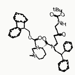 CN1CCC[C@@H](C(=O)N(CCC(=O)CNC(=O)OC(C)(C)C)CC(c2ccccc2)c2ccccc2)N(C(=O)OCC2c3ccccc3-c3ccccc32)C1